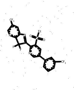 CCS(=O)(=O)c1cc(-c2cccc(C(F)(F)F)c2)cnc1C1=Nc2cc(C(F)(F)F)cnc2C1(F)F